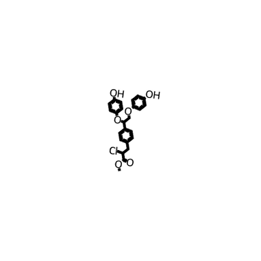 COC(=O)C(Cl)Cc1ccc(C(COc2ccc(O)cc2)Oc2ccc(O)cc2)cc1